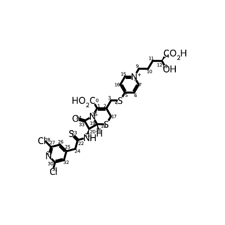 O=C(O)C1=C(CSc2cc[n+](CCC[C@H](O)C(=O)O)cc2)CS[C@@H]2[C@@H](NC(=S)Cc3cc(Cl)nc(Cl)c3)C(=O)N12